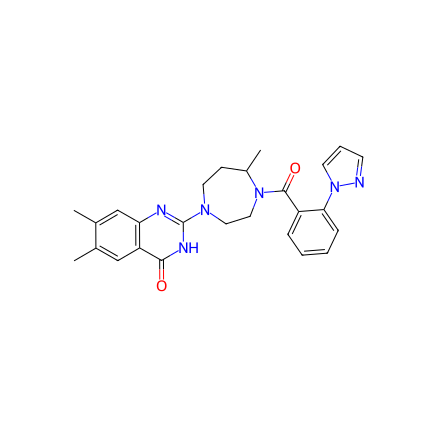 Cc1cc2nc(N3CCC(C)N(C(=O)c4ccccc4-n4cccn4)CC3)[nH]c(=O)c2cc1C